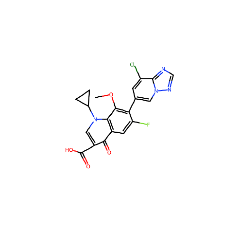 COc1c(-c2cc(Cl)c3ncnn3c2)c(F)cc2c(=O)c(C(=O)O)cn(C3CC3)c12